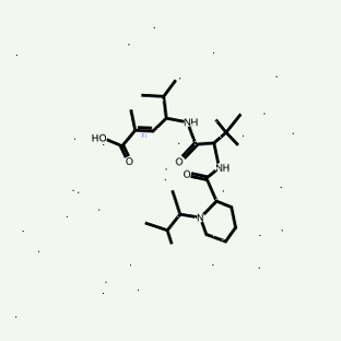 C/C(=C\C(NC(=O)C(NC(=O)C1CCCCN1C(C)C(C)C)C(C)(C)C)C(C)C)C(=O)O